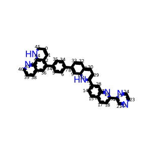 C1=Cc2c(-c3ccc(C4=CC5NC(c6ccc7ccc(-c8cnccn8)nc7c6)=CC=C5C=C4)cc3)cc3cccnc3c2NC1